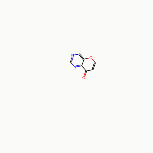 O=c1ccoc2cncnc12